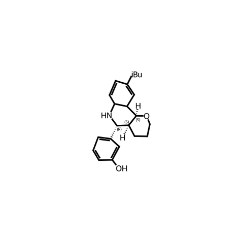 CCC(C)C1=CC2C(C=C1)N[C@@H](c1cccc(O)c1)[C@@H]1CCCO[C@H]21